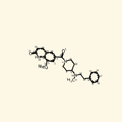 COc1cc(C(=O)N2CCC(N(C)CCc3ccccc3)CC2)cc2ccc(=O)[nH]c12